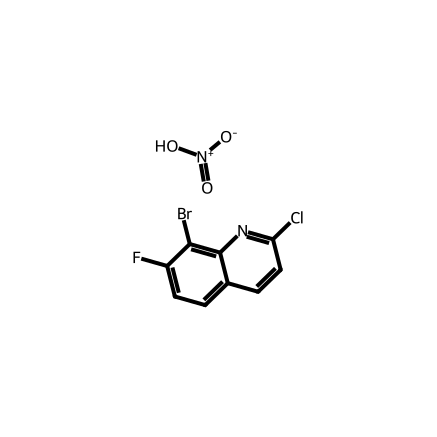 Fc1ccc2ccc(Cl)nc2c1Br.O=[N+]([O-])O